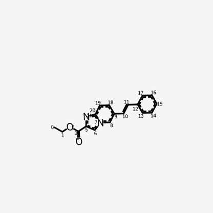 CCOC(=O)c1cn2cc(/C=C/c3ccccc3)ccc2n1